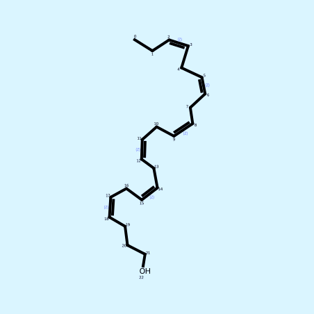 CC/C=C\C/C=C\C/C=C\C/C=C\C/C=C\C/C=C\CCCO